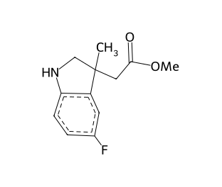 COC(=O)CC1(C)CNc2ccc(F)cc21